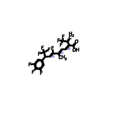 C=C(\C(=C/C=C(C)/C(F)=C/C(c1cc(F)c(F)c(F)c1)C(F)(F)F)C(=O)O)C(F)(F)F